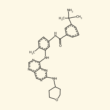 Cc1ccc(NC(=O)c2cccc(C(C)(C)N)c2)cc1Nc1ncnc2cnc(NC3CCOCC3)nc12